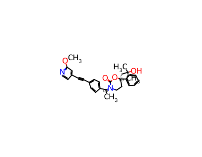 COc1cc(C#Cc2ccc([C@H](C)N3CC[C@](CC(C)(C)O)(c4ccccc4)OC3=O)cc2)ccn1